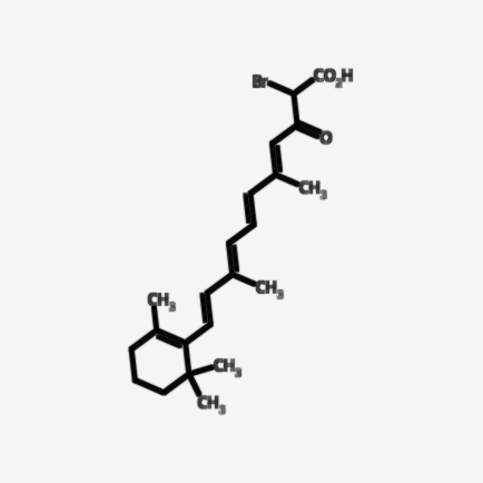 CC1=C(/C=C/C(C)=C/C=C/C(C)=C/C(=O)C(Br)C(=O)O)C(C)(C)CCC1